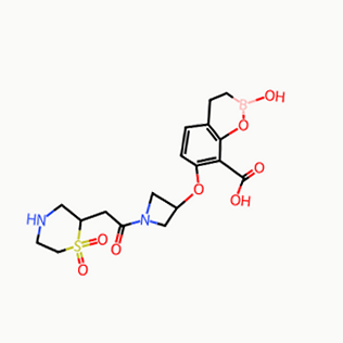 O=C(O)c1c(OC2CN(C(=O)CC3CNCCS3(=O)=O)C2)ccc2c1OB(O)CC2